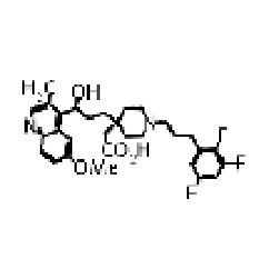 COc1ccc2ncc(C)c([C@@H](O)CCC3(CC(=O)O)CCN(CCCc4cc(F)cc(F)c4F)CC3)c2c1